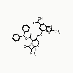 Cc1nc2nc(C(=O)O)cc(SCC3=C(C(=O)OC(c4ccccc4)c4ccccc4)N4C(=O)C(N)[C@@H]4SC3)n2n1